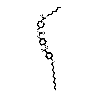 CCCCCCCCCCOc1ccc(C(=O)Oc2ccc(OC(=O)OC3CCN(C(=O)OCCCCCC)CC3)cc2)cc1